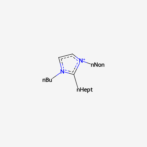 CCCCCCCCC[n+]1ccn(CCCC)c1CCCCCCC